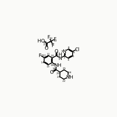 O=C(Nc1ccc(Cl)cn1)c1cc(F)ccc1NC(=O)C1CCNCC1.O=C(O)C(F)(F)F